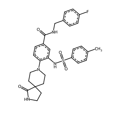 Cc1ccc(S(=O)(=O)Nc2cc(C(=O)NCc3ccc(F)cc3)ccc2N2CCC3(CCNC3=O)CC2)cc1